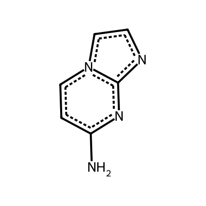 Nc1ccn2ccnc2n1